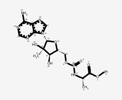 CC(C)OC(=O)[C@H](C)N[PH](=O)OC[C@H]1O[C@@H](n2cnc3c(N)ncnc32)[C@](C)(O)[C@@H]1O